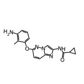 Cc1c(N)cccc1Oc1ccc2nc(NC(=O)C3CC3)cn2n1